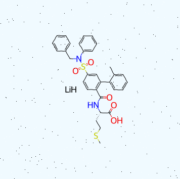 CSCC[C@H](NC(=O)c1ccc(S(=O)(=O)N(Cc2ccccc2)c2ccccc2)cc1-c1ccccc1C)C(=O)O.[LiH]